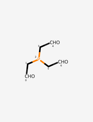 O=CCP(CC=O)CC=O